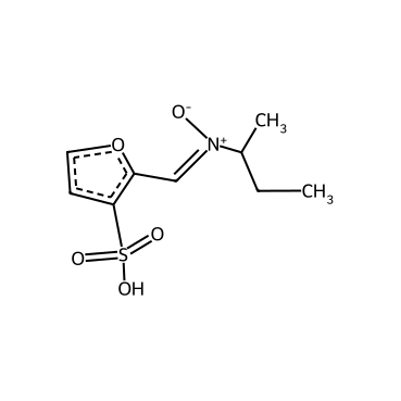 CCC(C)[N+]([O-])=Cc1occc1S(=O)(=O)O